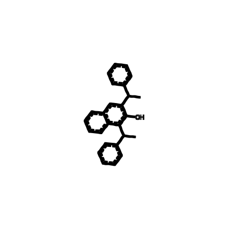 CC(c1ccccc1)c1cc2ccccc2c(C(C)c2ccccc2)c1O